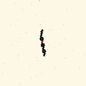 CCCCCCCC1CCC(CCc2ccc(CCC3CCC(CCC)CC3)cc2)CC1